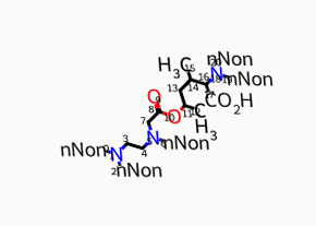 CCCCCCCCCN(CCCCCCCCC)CCN(CCCCCCCCC)CC(=O)OC(C)CC(C)C(C(=O)O)N(CCCCCCCCC)CCCCCCCCC